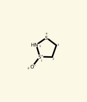 [O-][S+]1CCSN1